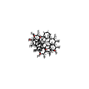 OB(O)P(c1ccccc1-c1c(F)c(F)c(F)c2c(F)c(F)c(F)c(F)c12)(c1c(F)c(F)c(F)c2c(F)c(F)c(F)c(F)c12)(c1c(F)c(F)c(F)c2c(F)c(F)c(F)c(F)c12)c1c(F)c(F)c(F)c2c(F)c(F)c(F)c(F)c12